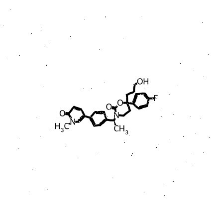 C[C@@H](c1ccc(-c2ccc(=O)n(C)c2)cc1)N1CCC(CCCO)(c2ccc(F)cc2)OC1=O